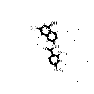 Cc1ccc(C(=O)Nc2ccc3c(O)cc(S(=O)(=O)O)cc3c2)c(N)c1